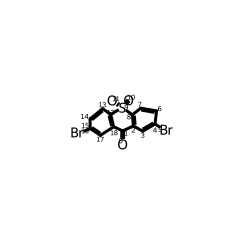 O=C1c2cc(Br)ccc2S(=O)(=O)c2ccc(Br)cc21